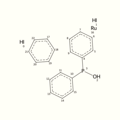 I.I.OP(c1ccccc1)c1ccccc1.[Ru].c1ccccc1